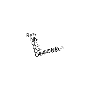 [Nb].[Nb].[O-2].[O-2].[O-2].[O-2].[O-2].[O-2].[O-2].[Re+7].[Re+7]